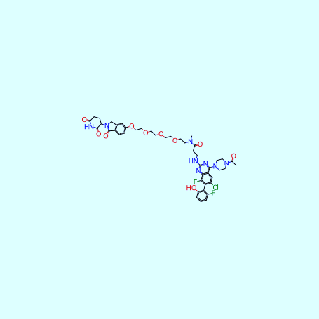 CC(=O)N1CCN(c2nc(NCCC(=O)N(C)CCOCCOCCOCCOc3ccc4c(c3)CN(C3CCC(=O)NC3=O)C4=O)nc3c(F)c(-c4c(O)cccc4F)c(Cl)cc23)CC1